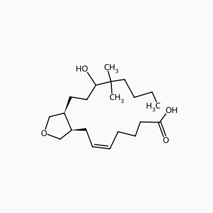 CCCCC(C)(C)C(O)CC[C@@H]1COC[C@@H]1C/C=C\CCCC(=O)O